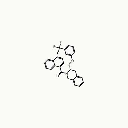 O=C(c1cccc2ccccc12)N1Cc2ccccc2C[C@H]1COc1cccc(C(F)(F)F)c1